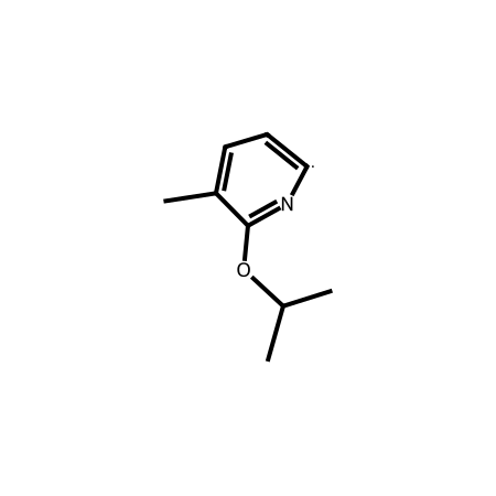 Cc1cc[c]nc1OC(C)C